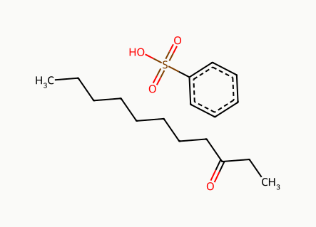 CCCCCCCCC(=O)CC.O=S(=O)(O)c1ccccc1